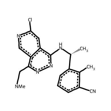 CNCc1nnc(N[C@H](C)c2cccc(C#N)c2C)c2cc(Cl)ncc12